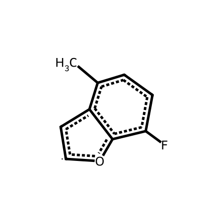 Cc1ccc(F)c2o[c]cc12